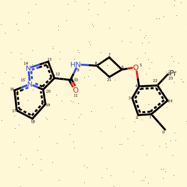 Cc1ccc(OC2CC(NC(=O)c3cnn4ccccc34)C2)c(C(C)C)c1